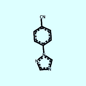 N#Cc1ccc(-n2cncn2)cc1